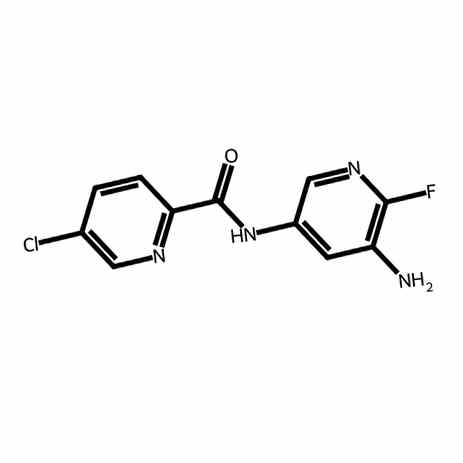 Nc1cc(NC(=O)c2ccc(Cl)cn2)cnc1F